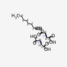 CCCCCCCC.O=C(O)/C=C/C(=O)O.O=C(O)/C=C/C(=O)O